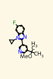 COC(C)(C)c1cncc(-c2nc3ccc(F)cc3n2C2CC2)c1